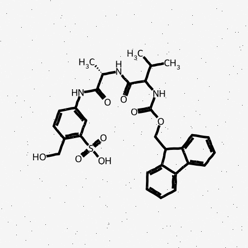 CC(C)C(NC(=O)OCC1c2ccccc2-c2ccccc21)C(=O)N[C@@H](C)C(=O)Nc1ccc(CO)c(S(=O)(=O)O)c1